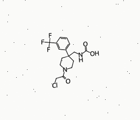 O=C(O)NCC1(c2cccc(C(F)(F)F)c2)CCN(C(=O)CCl)CC1